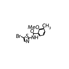 COc1c(C)cccc1C(=O)Nc1ncc(Br)s1